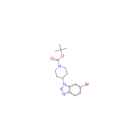 CC(C)(C)OC(=O)N1CCC(n2cnc3ccc(Br)cc32)CC1